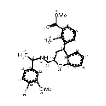 COC(=O)c1cccc(C2C[C@H](CNC(C)c3ccc(F)c(OC)c3)Oc3ccccc32)c1C